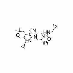 CC(C)C1CN(c2nc(C3CC3)c3c(c2C#N)CC(C)(C)OC3)CCN1C(=O)NCC1CC1